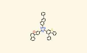 c1ccc(-c2ccc3cc(-c4nc(-c5ccc6c(c5)oc5ccc7ccccc7c56)nc(-c5cc(-c6ccccc6)c6c(c5)sc5ccccc56)n4)ccc3c2)cc1